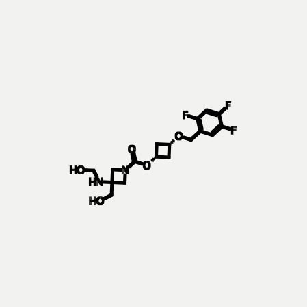 O=C(O[C@H]1C[C@@H](OCc2cc(F)c(F)cc2F)C1)N1CC(CO)(NCO)C1